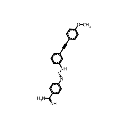 COc1ccc(C#Cc2cccc(N/N=N/c3ccc(C(=N)N)cc3)c2)cc1